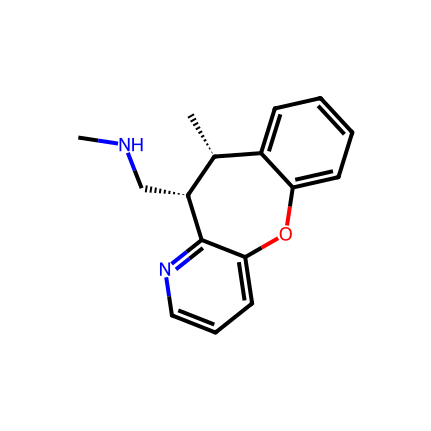 CNC[C@H]1c2ncccc2Oc2ccccc2[C@H]1C